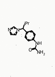 CC(C)C(c1ccc(NC(N)=O)cc1)n1ccnc1